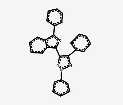 c1ccc(-c2nn(-c3ccccc3)nc2-c2sc(-c3ccccc3)c3ccccc23)cc1